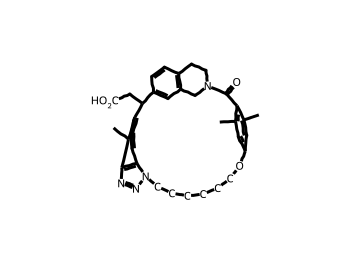 Cc1cc2cc(C)c1C(=O)N1CCc3ccc(cc3C1)C(CC(=O)O)c1ccc3c(nnn3CCCCCCO2)c1C